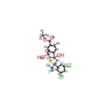 Cc1cc(C2(O)C[C@@](c3cc(Cl)cc(Cl)c3)(C(F)(F)F)SC2C(=O)O)ccc1C(=O)OC(C)(C)C